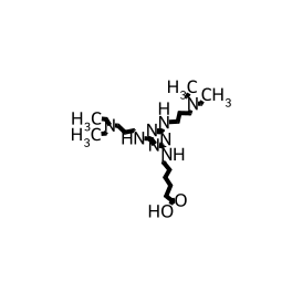 CCN(CC)CCCNc1nc(NCCCCCC(=O)O)nc(NCCCN(CC)CC)n1